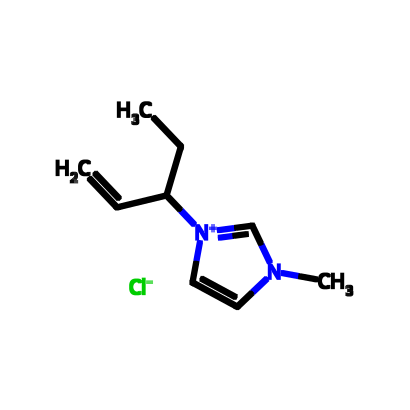 C=CC(CC)[n+]1ccn(C)c1.[Cl-]